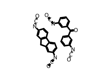 O=C=Nc1ccc2c(c1)Cc1cc(N=C=O)ccc1-2.O=C=Nc1cccc(C(=O)c2cccc(N=C=O)c2)c1